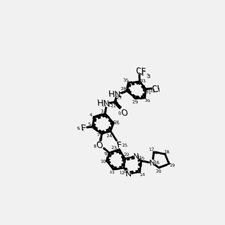 O=C(Nc1cc(F)c(Oc2ccc3ncc(N4CCCC4)nc3c2)c(F)c1)Nc1ccc(Cl)c(C(F)(F)F)c1